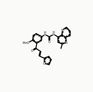 COc1ccc(NC(=O)Nc2cc(C)nc3cccnc23)cc1C(=O)C=Cc1ccco1